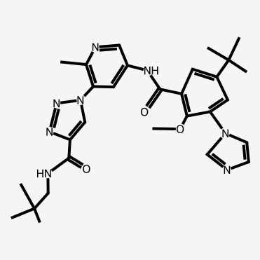 COc1c(C(=O)Nc2cnc(C)c(-n3cc(C(=O)NCC(C)(C)C)nn3)c2)cc(C(C)(C)C)cc1-n1ccnc1